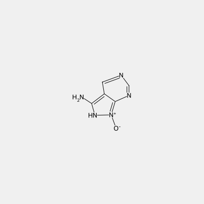 Nc1[nH][n+]([O-])c2ncncc12